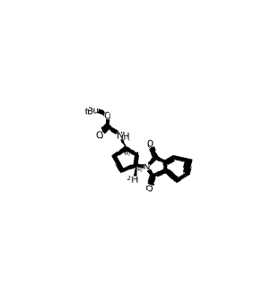 [2H][C@@]1(N2C(=O)c3ccccc3C2=O)CC[C@@H](NC(=O)OC(C)(C)C)C1